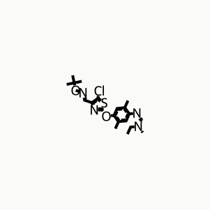 CCN(C)/C=N\c1cc(C)c(Oc2nc(/C=N/OC(C)(C)C)c(Cl)s2)cc1C